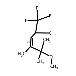 COC(C)(C)/C(C)=C\C(C)C(F)(F)F